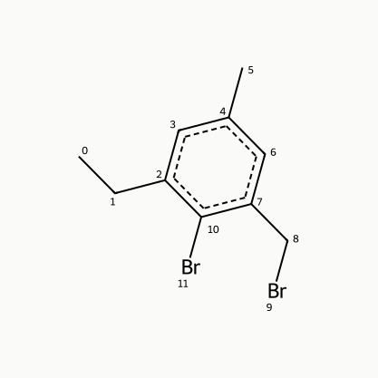 CCc1cc(C)cc(CBr)c1Br